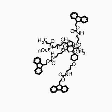 C=CC(=O)N(CCCCCCCC)CCC[C@@H](C)[C@H]1CC[C@H]2C([C@@H](CC)OCCCNC(=O)OCC3c4ccccc4-c4ccccc43)[C@@H]([C@]3(C)CC[C@H](OCCCNC(=O)OCC4c5ccccc5-c5ccccc54)CC3)C[C@H](OCCCNC(=O)OCC3c4ccccc4-c4ccccc43)C12C